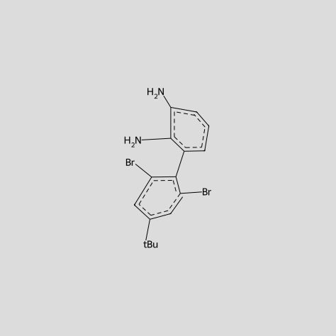 CC(C)(C)c1cc(Br)c(-c2cccc(N)c2N)c(Br)c1